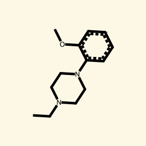 CCN1CCN(c2cc[c]cc2OC)CC1